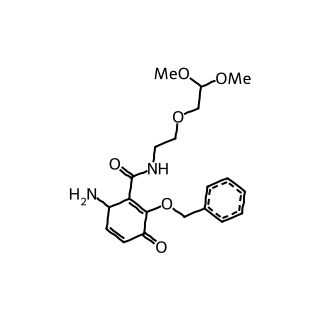 COC(COCCNC(=O)C1=C(OCc2ccccc2)C(=O)C=CC1N)OC